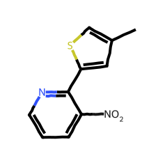 Cc1csc(-c2ncccc2[N+](=O)[O-])c1